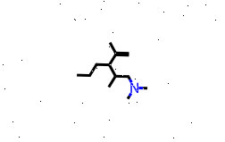 C=C(C)C(CCC)C(C)CN(C)C